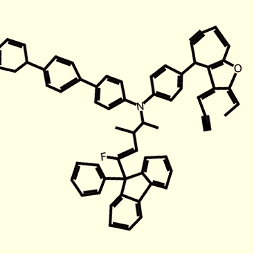 C#C/C=c1/c2c(o/c1=C/C)C=CC#CC2c1ccc(N(c2ccc(-c3ccc(C4C=CC=CC4)cc3)cc2)C(C)C(C)/C=C(\F)C2(c3ccccc3)c3ccccc3-c3ccccc32)cc1